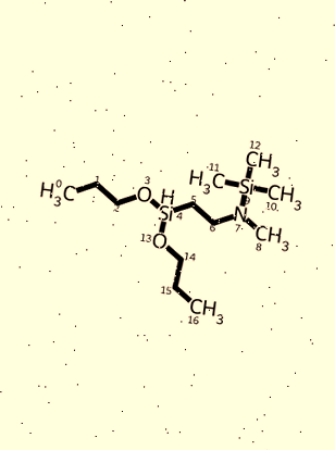 CCCO[SiH](CCN(C)[Si](C)(C)C)OCCC